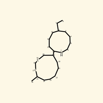 CCC1CCCCNC(C2CCCCCC(C)CCCC2)CCC1